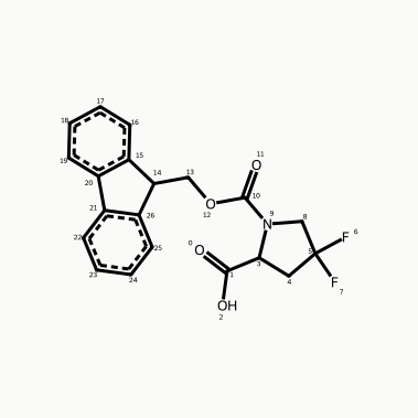 O=C(O)C1CC(F)(F)CN1C(=O)OCC1c2ccccc2-c2ccccc21